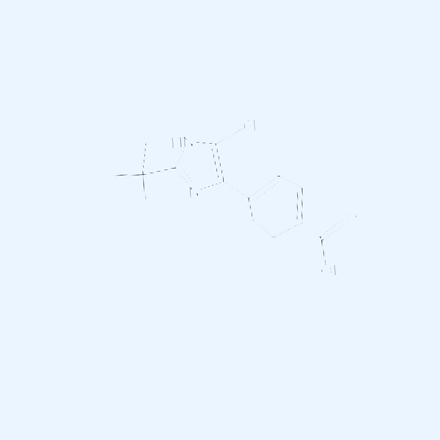 CC(C)(C)c1nc(-c2ccc(C(=O)O)cc2)c(Cl)[nH]1